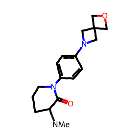 CNC1CCCN(c2ccc(N3CC4(COC4)C3)cc2)C1=O